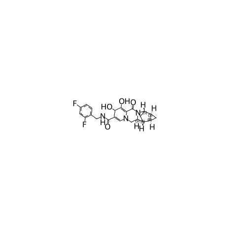 O=C(NCc1ccc(F)cc1F)C1=CN2C[C@@H]3[C@@H]4C[C@@H]([C@H]5C[C@@H]45)N3C(=O)C2=C(O)C1O